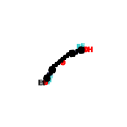 CCOc1ccc(/C=C/C2CCC(CCCCCC(=O)CCCCCC3CCC(/C=C/c4ccc(O)c(F)c4F)CC3)CC2)c(F)c1F